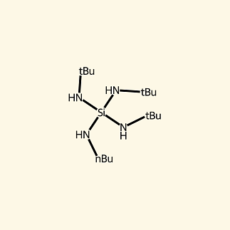 CCCCN[Si](NC(C)(C)C)(NC(C)(C)C)NC(C)(C)C